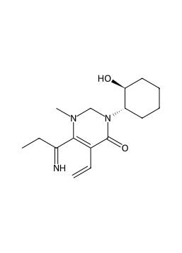 C=CC1=C(C(=N)CC)N(C)CN([C@H]2CCCC[C@@H]2O)C1=O